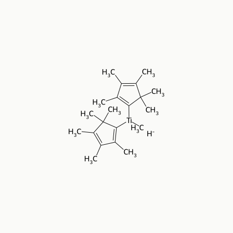 CC1=C(C)C(C)(C)[C]([Ti]([CH3])[C]2=C(C)C(C)=C(C)C2(C)C)=C1C.[H-]